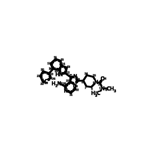 CN(C)C(=O)N1CCC(c2nc(-c3cc4cccc(-c5ccccc5)c4[nH]3)c3c(N)nccn23)CC1